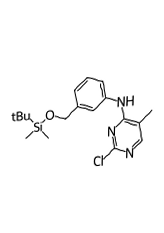 Cc1cnc(Cl)nc1Nc1cccc(CO[Si](C)(C)C(C)(C)C)c1